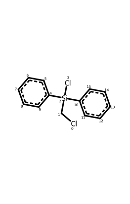 ClC[Si](Cl)(c1ccccc1)c1ccccc1